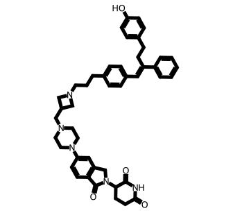 O=C1CCC(N2Cc3cc(N4CCN(CC5CN(CCCc6ccc(/C=C(\CCc7ccc(O)cc7)c7ccccc7)cc6)C5)CC4)ccc3C2=O)C(=O)N1